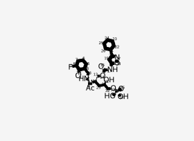 CC(=O)N(NCc1cccc(F)c1Cl)[C@H](COC(=O)Nc1cc(-c2ccccc2)no1)C[C@@H](O)COP(=O)(O)O